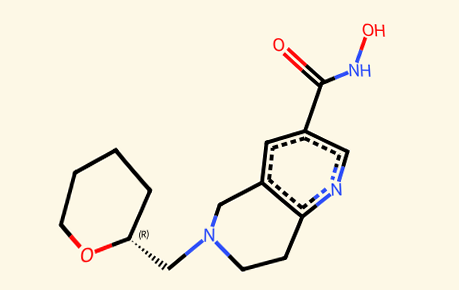 O=C(NO)c1cnc2c(c1)CN(C[C@H]1CCCCO1)CC2